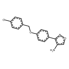 Nc1conc1-c1ccc(OCc2ccc(Cl)cc2)cc1